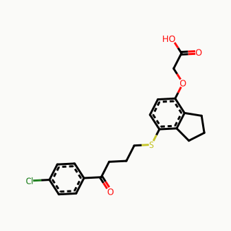 O=C(O)COc1ccc(SCCCC(=O)c2ccc(Cl)cc2)c2c1CCC2